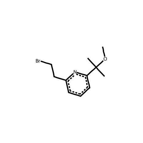 COC(C)(C)c1cccc(CCBr)n1